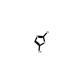 CCc1ncc(C#N)s1